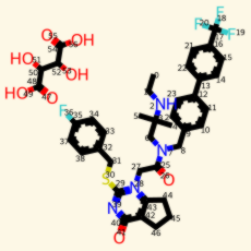 CCNC(C)(C)CN(Cc1ccc(-c2ccc(C(F)(F)F)cc2)cc1)C(=O)Cn1c(SCc2ccc(F)cc2)nc(=O)c2c1CCC2.O=C(O)C(O)C(O)C(=O)O